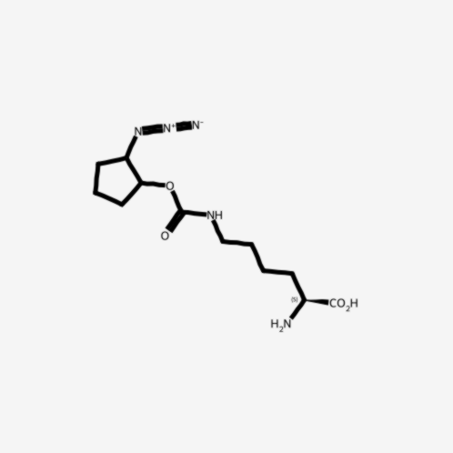 [N-]=[N+]=NC1CCCC1OC(=O)NCCCC[C@H](N)C(=O)O